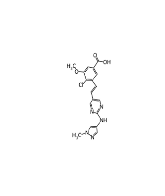 COc1cc(C(=O)O)cc(C=Cc2cnc(Nc3cnn(C)c3)nc2)c1Cl